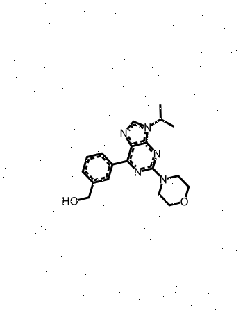 CC(C)n1cnc2c(-c3cccc(CO)c3)nc(N3CCOCC3)nc21